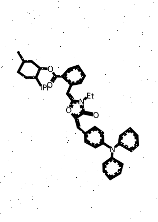 CCn1c(=O)/c(=C\c2ccc(N(c3ccccc3)c3ccccc3)cc2)o/c1=C/c1ccccc1C(=O)OC1CC(C)CCC1C(C)C